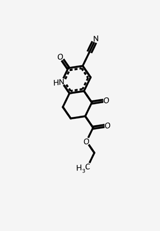 CCOC(=O)C1CCc2[nH]c(=O)c(C#N)cc2C1=O